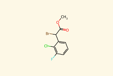 COC(=O)C(Br)c1cccc(F)c1Cl